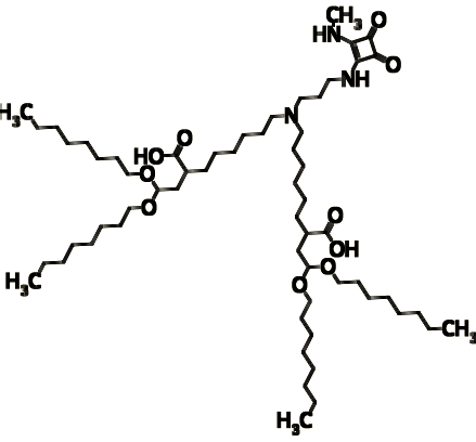 CCCCCCCCOC(CC(CCCCCCN(CCCCCCC(CC(OCCCCCCCC)OCCCCCCCC)C(=O)O)CCCNc1c(NC)c(=O)c1=O)C(=O)O)OCCCCCCCC